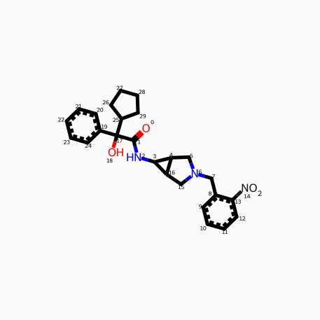 O=C(NC1C2CN(Cc3ccccc3[N+](=O)[O-])CC21)C(O)(c1ccccc1)C1CCCC1